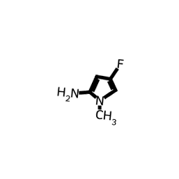 Cn1cc(F)cc1N